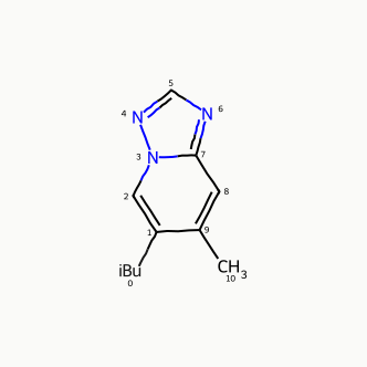 CCC(C)c1cn2ncnc2cc1C